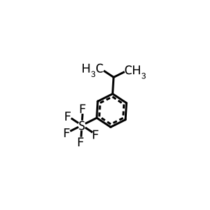 CC(C)c1cccc(S(F)(F)(F)(F)F)c1